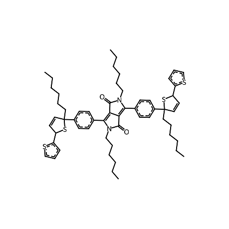 CCCCCCN1C(=O)C2=C(c3ccc(C4(CCCCCC)C=CC(c5cccs5)S4)cc3)N(CCCCCC)C(=O)C2=C1c1ccc(C2(CCCCCC)C=CC(c3cccs3)S2)cc1